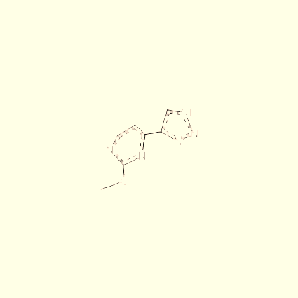 COc1nccc(-c2c[nH]nn2)n1